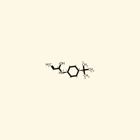 C=CC(O)N[C@H]1CC[C@@H](C(C)(C)C)CC1